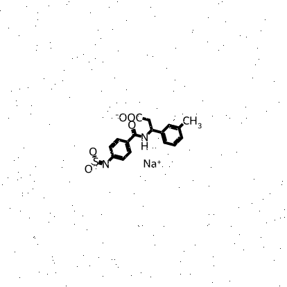 Cc1cccc(C(CC(=O)[O-])NC(=O)c2ccc(N=S(=O)=O)cc2)c1.[Na+]